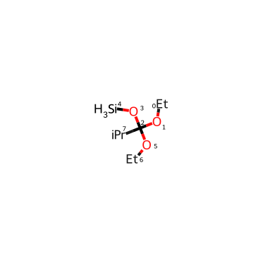 CCOC(O[SiH3])(OCC)C(C)C